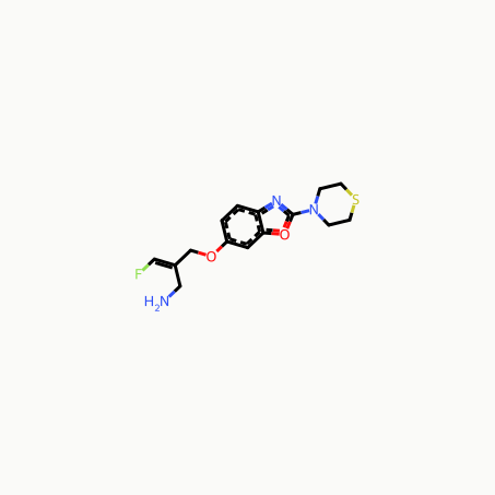 NC/C(=C\F)COc1ccc2nc(N3CCSCC3)oc2c1